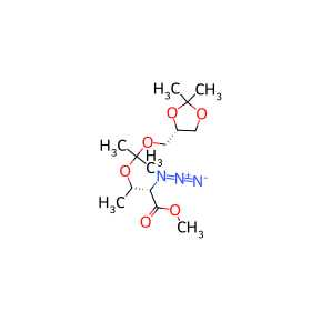 COC(=O)[C@@H](N=[N+]=[N-])C(C)OC(C)(C)OC[C@H]1COC(C)(C)O1